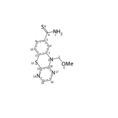 COCN1c2cc(C(N)=S)ccc2Sc2nccnc21